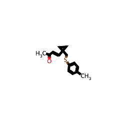 CC(=O)/C=C/C1(CSc2ccc(C)cc2)CC1